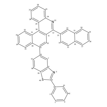 c1ccc(-c2nc3cc(-c4cc5c(-c6ccc7ccccc7c6)nc6ccccc6c5c5ccccc45)ccc3s2)cc1